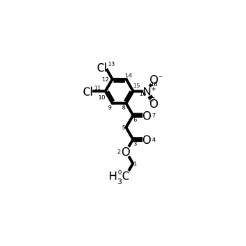 CCOC(=O)CC(=O)c1cc(Cl)c(Cl)cc1[N+](=O)[O-]